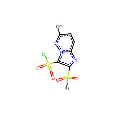 CCCc1ccc2nc(S(=O)(=O)CC)c(S(=O)(=O)Cl)n2n1